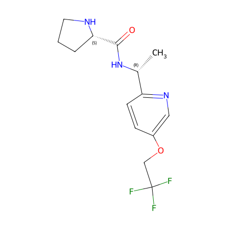 C[C@@H](NC(=O)[C@@H]1CCCN1)c1ccc(OCC(F)(F)F)cn1